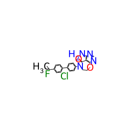 CC(F)c1ccc(-c2ccc(N3CCOc4ncnc(N)c4C3=O)cc2)c(Cl)c1